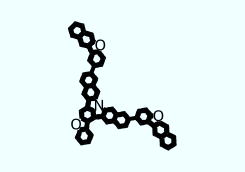 c1ccc2cc3c(cc2c1)oc1ccc(-c2ccc4cc5c6cc7oc8ccccc8c7c7c8cc9ccc(-c%10ccc%11oc%12cc%13ccccc%13cc%12c%11c%10)cc9cc8n(c5cc4c2)c67)cc13